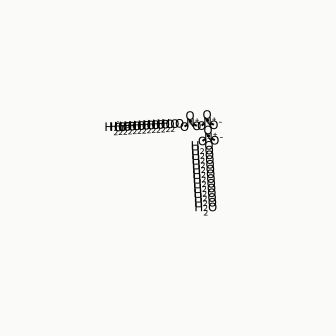 O.O.O.O.O.O.O.O.O.O.O.O.O.O.O.O.O.O.O.O.O.O.O.O.O.O.O.O=[N+]([O-])[O-].O=[N+]([O-])[O-].O=[N+]([O-])[O-].[Cr+3]